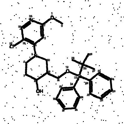 COc1cc(N2CCC(O)C(CO[Si](c3ccccc3)(c3ccccc3)C(C)(C)C)C2)c(Cl)cn1